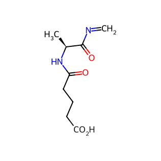 C=NC(=O)[C@H](C)NC(=O)CCCC(=O)O